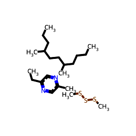 CCCCC(C)CCC(C)CCC.CCc1cnc(C)cn1.CSSSC